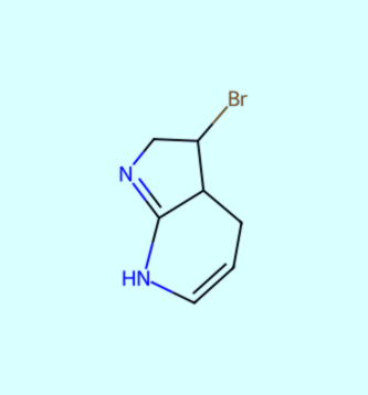 BrC1CN=C2NC=CCC21